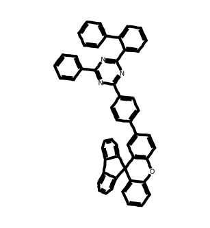 c1ccc(-c2nc(-c3ccc(-c4ccc5c(c4)C4(c6ccccc6O5)c5ccccc5-c5ccccc54)cc3)nc(-c3ccccc3-c3ccccc3)n2)cc1